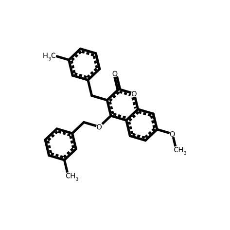 COc1ccc2c(OCc3cccc(C)c3)c(Cc3cccc(C)c3)c(=O)oc2c1